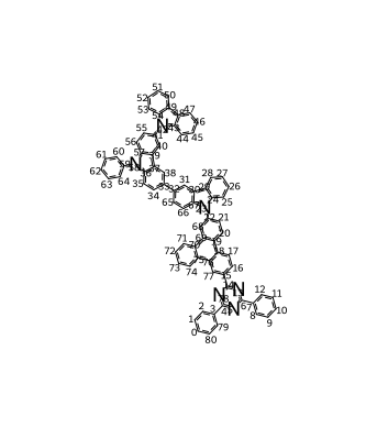 c1ccc(-c2nc(-c3ccccc3)nc(-c3ccc4c5ccc(-n6c7ccccc7c7cc(-c8ccc9c(c8)c8cc(-n%10c%11ccccc%11c%11ccccc%11%10)ccc8n9-c8ccccc8)ccc76)cc5c5ccccc5c4c3)n2)cc1